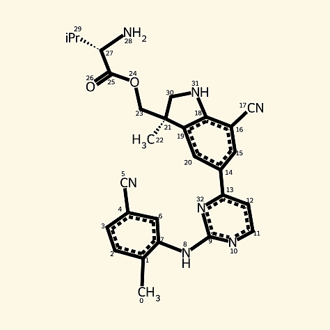 Cc1ccc(C#N)cc1Nc1nccc(-c2cc(C#N)c3c(c2)[C@@](C)(COC(=O)[C@@H](N)C(C)C)CN3)n1